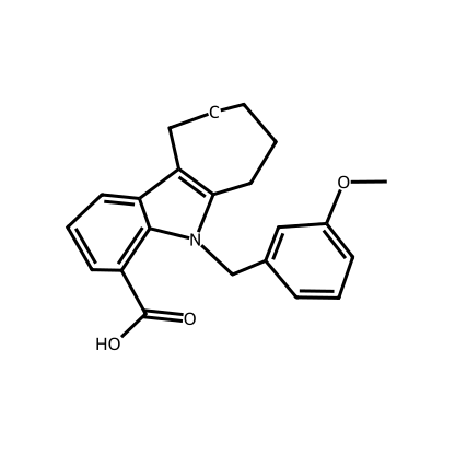 COc1cccc(Cn2c3c(c4cccc(C(=O)O)c42)CCCCC3)c1